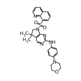 CC1(C)CN(S(=O)(=O)c2cccc3cccnc23)c2nc(Nc3ccc(N4CCOCC4)cc3)ncc21